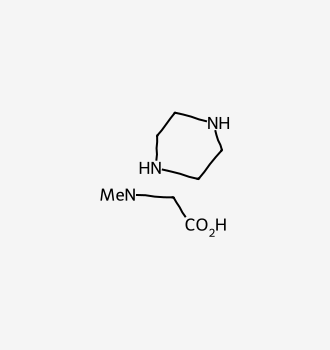 C1CNCCN1.CNCC(=O)O